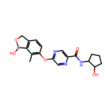 Cc1c(Oc2cnc(C(=O)NC3CCCC3O)cn2)ccc2c1B(O)OC2